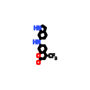 O=c1cc(C(F)(F)F)c2ccc(Nc3ccc4cc[nH]c4c3)cc2o1